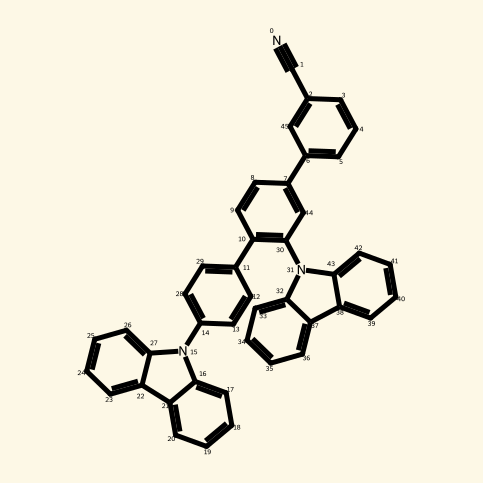 N#Cc1cccc(-c2ccc(-c3ccc(-n4c5ccccc5c5ccccc54)cc3)c(-n3c4ccccc4c4ccccc43)c2)c1